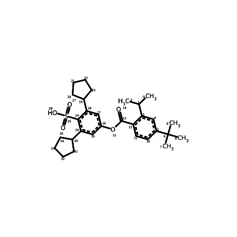 CC(C)c1cc(C(C)(C)C)ccc1C(=O)Oc1cc(C2CCCC2)c(S(=O)(=O)O)c(C2CCCC2)c1